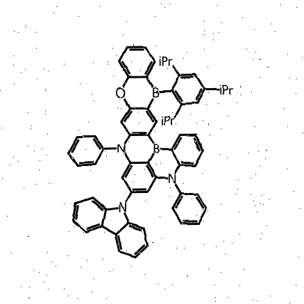 CC(C)c1cc(C(C)C)c(B2c3ccccc3Oc3cc4c(cc32)B2c3ccccc3N(c3ccccc3)c3cc(-n5c6ccccc6c6ccccc65)cc(c32)N4c2ccccc2)c(C(C)C)c1